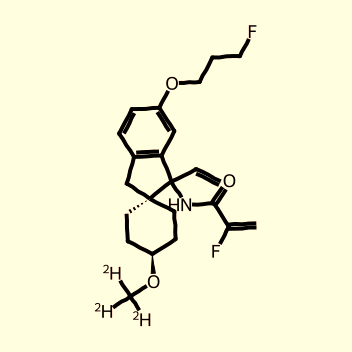 [2H]C([2H])([2H])O[C@H]1CC[C@]2(CC1)Cc1ccc(OCCCF)cc1C2(C=C)NC(=O)C(=C)F